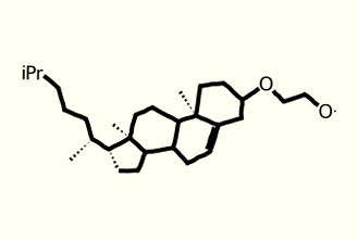 CC(C)CCC[C@@H](C)[C@H]1CCC2C3CC=C4CC(OCC[O])CC[C@]4(C)C3CC[C@@]21C